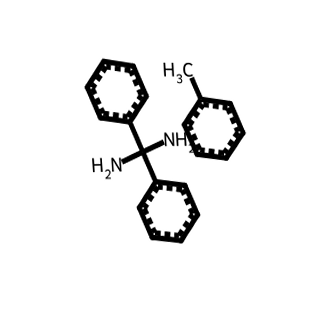 Cc1ccccc1.NC(N)(c1ccccc1)c1ccccc1